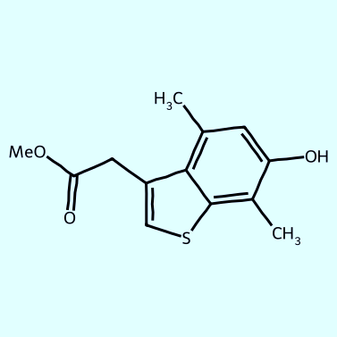 COC(=O)Cc1csc2c(C)c(O)cc(C)c12